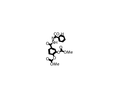 COC(=O)Oc1ccc(C(=O)N/N=C(/C(=O)O)c2ccccc2)cc1OC(=O)OC